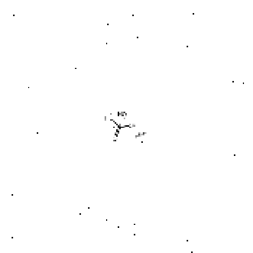 O=C([O-])O.[Cu+2].[OH-]